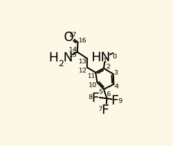 CNc1ccc(C(F)(F)F)cc1CCC(N)C=O